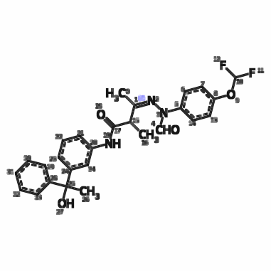 C/C(=N/N(C=O)c1ccc(OC(F)F)cc1)C(C)C(=O)Nc1cccc(C(C)(O)c2ccccc2)c1